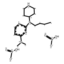 CCCCN(c1nccc(N(C)C)n1)C1CCNCC1.O=[N+]([O-])O.O=[N+]([O-])O